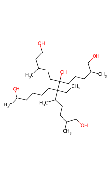 CCC(CCCCC(C)O)(C(C)CCC(C)CO)C(O)(CCCC(C)CO)CCC(C)CCO